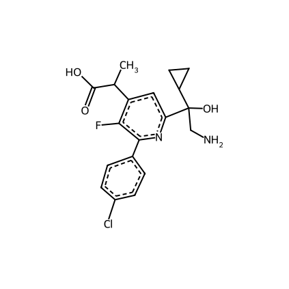 CC(C(=O)O)c1cc(C(O)(CN)C2CC2)nc(-c2ccc(Cl)cc2)c1F